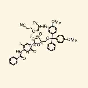 COc1ccc(C(OC[C@H]2O[C@@H](n3cc(I)c(NC(=O)c4ccccc4)nc3=O)[C@H](F)[C@@H]2OP(OCCC#N)N(C(C)C)C(C)C)(c2ccccc2)c2ccc(OC)cc2)cc1